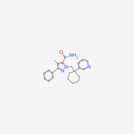 Cc1c(-c2ccccc2)nn(CC2(c3cccnc3)CCCCC2)c1C(N)=O